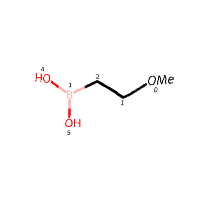 COCCB(O)O